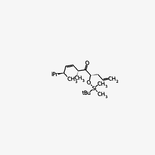 C=CC[C@H](O[Si](C)(C)C(C)(C)C)C(=O)[C@H](C)/C=C\[C@@H](C)C(C)C